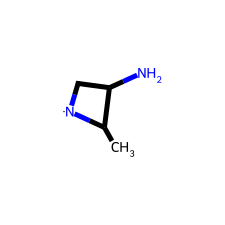 CC1[N]CC1N